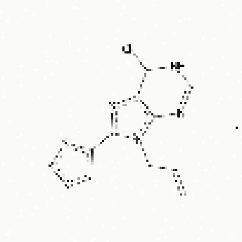 C=CCn1c(-c2cccs2)nc2c1N=CNC2Cl